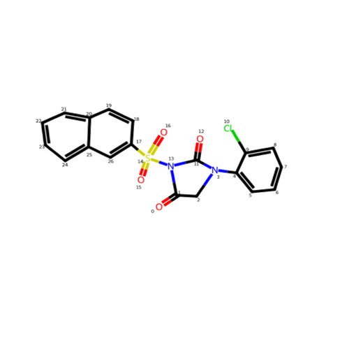 O=C1CN(c2ccccc2Cl)C(=O)N1S(=O)(=O)c1ccc2ccccc2c1